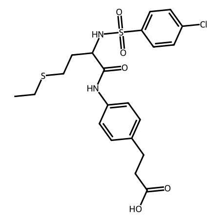 CCSCCC(NS(=O)(=O)c1ccc(Cl)cc1)C(=O)Nc1ccc(CCC(=O)O)cc1